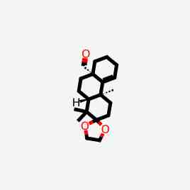 CC1(C)[C@@H]2CC[C@@]3(C=O)CCCC=C3[C@@]2(C)CCC12OCCO2